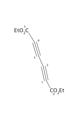 CCOC(=O)C#CC#CC(=O)OCC